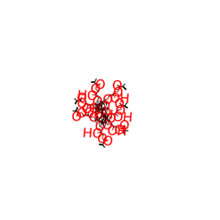 C=C(C)C(=O)OCC(O)COC[C@H]1O[C@H](O[C@H]2O[C@H](COCC(O)COC(=O)C(=C)C)[C@@H](OCC(O)COC(=O)C(=C)C)[C@H](OCC(O)COC(=O)C(=C)C)[C@H]2O)[C@H](OCC(O)COC(=O)C(=C)C)[C@@H](OCC(O)COC(=O)C(=C)C)[C@@H]1OCC(O)COC(=O)C(=C)C